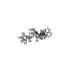 C[C@]1(O)[C@@H](NC(=O)c2cccc3c2C(F)(F)CCC3)CN2C(=N)NC(CNC(=O)c3cc(=O)[nH]c(=O)[nH]3)C3NC(=N)N(O)C321